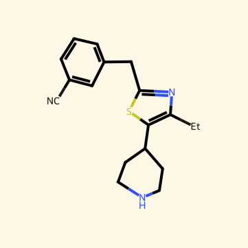 CCc1nc(Cc2cccc(C#N)c2)sc1C1CCNCC1